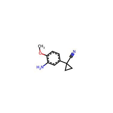 COc1ccc(C2(C#N)CC2)cc1N